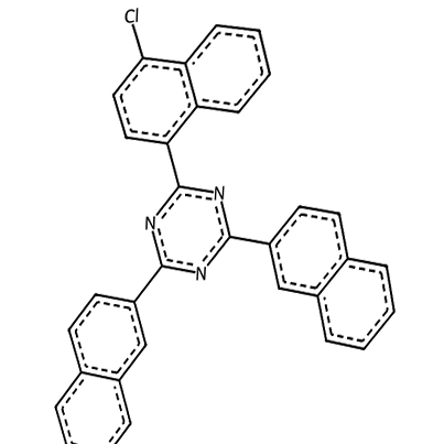 Clc1ccc(-c2nc(-c3ccc4ccccc4c3)nc(-c3ccc4ccccc4c3)n2)c2ccccc12